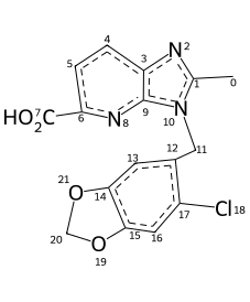 Cc1nc2ccc(C(=O)O)nc2n1Cc1cc2c(cc1Cl)OCO2